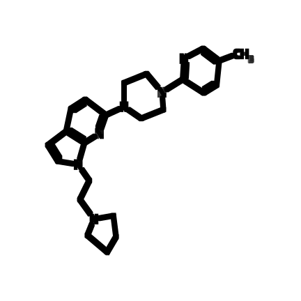 Cc1ccc(N2CCN(c3ccc4ccn(CCN5CCCC5)c4n3)CC2)nc1